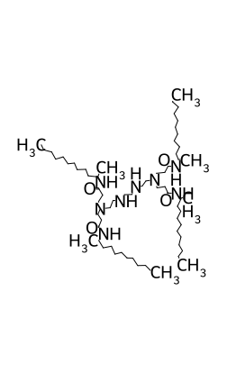 CCCCCCCCCCC(C)NC(=O)CCN(CCNCCNCCN(CCC(=O)NC(C)CCCCCCCCCC)CCC(=O)NC(C)CCCCCCCCCC)CCC(=O)NC(C)CCCCCCCCCC